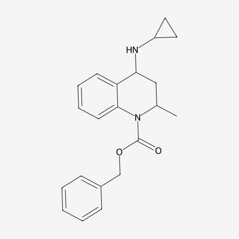 CC1CC(NC2CC2)c2ccccc2N1C(=O)OCc1ccccc1